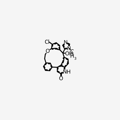 Cn1cncc1C1(O)c2ccc(Cl)c(c2)OCCc2cccc(c2)-c2cc(=O)[nH]c3ccc1cc23